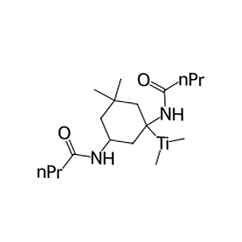 CCCC(=O)NC1CC(C)(C)C[C](NC(=O)CCC)([Ti]([CH3])[CH3])C1